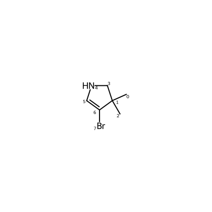 CC1(C)CNC=C1Br